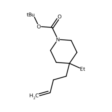 C=CCCC1(CC)CCN(C(=O)OC(C)(C)C)CC1